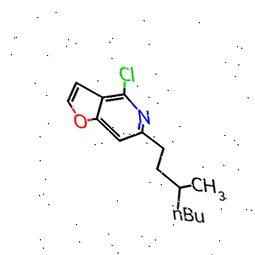 CCCCC(C)CCc1cc2occc2c(Cl)n1